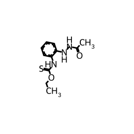 CCOC(=S)Nc1ccccc1NNC(C)=O